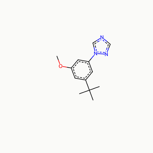 COc1cc(-n2cncn2)cc(C(C)(C)C)c1